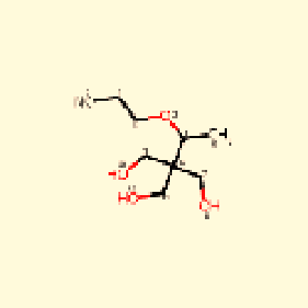 CC(OCCC#N)C(CO)(CO)CO